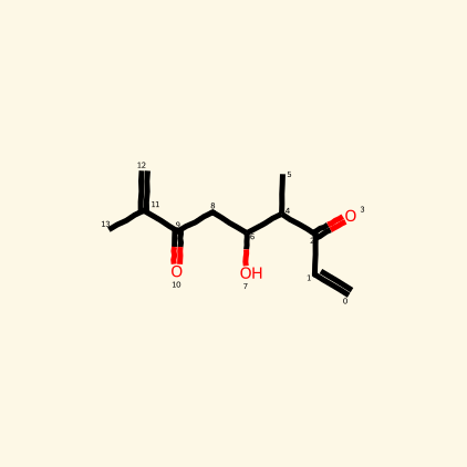 C=CC(=O)C(C)C(O)CC(=O)C(=C)C